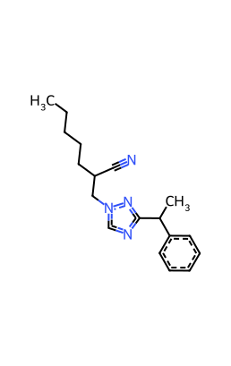 CCCCCC(C#N)Cn1cnc(C(C)c2ccccc2)n1